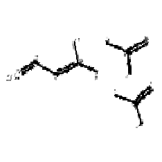 C=C(C)C.C=C(C)C.CC(C)=CC=O